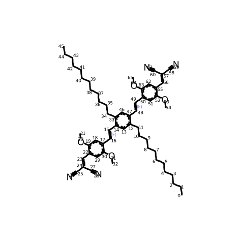 CCCCCCCCCCCCc1cc(/C=C/c2cc(OC)c(C=C(C#N)C#N)cc2OC)c(CCCCCCCCCCCC)cc1/C=C/c1cc(OC)c(C=C(C#N)C#N)cc1OC